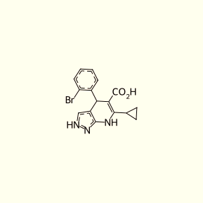 O=C(O)C1=C(C2CC2)Nc2n[nH]cc2C1c1ccccc1Br